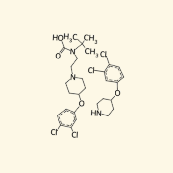 CC(C)(C)N(CCN1CCC(Oc2ccc(Cl)c(Cl)c2)CC1)C(=O)O.Clc1ccc(OC2CCNCC2)cc1Cl